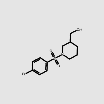 CCc1ccc(S(=O)(=O)N2CCCC(CO)C2)cc1